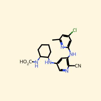 Cc1cc(Cl)cc(Nc2cc(N[C@@H]3CCCC[C@@H]3NC(=O)O)cnc2C#N)n1